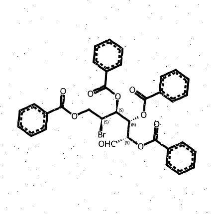 O=C[C@@H](OC(=O)c1ccccc1)[C@@H](OC(=O)c1ccccc1)[C@H](OC(=O)c1ccccc1)[C@@H](Br)COC(=O)c1ccccc1